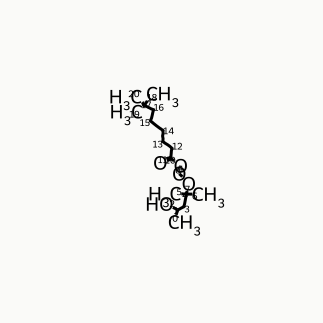 CC(O)CC(C)(C)OOOC(=O)CCCCCC(C)(C)C